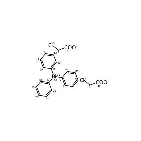 O=C([O-])CCl.O=C([O-])CCl.c1cc[c]([Bi+2]([c]2ccccc2)[c]2ccccc2)cc1